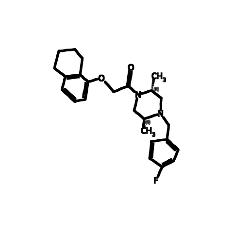 C[C@@H]1CN(Cc2ccc(F)cc2)[C@@H](C)CN1C(=O)COc1cccc2c1CCCC2